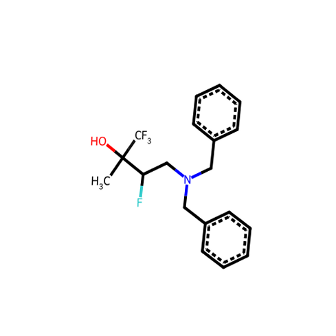 CC(O)(C(F)CN(Cc1ccccc1)Cc1ccccc1)C(F)(F)F